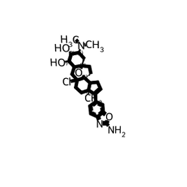 CN(C)[C@H]1C[C@@]23CC[C@]4(O2)C2CC=C(c5ccc6nc(N)oc6c5)[C@@]2(C)CCC4(Cl)CC3[C@@H](O)[C@@H]1O